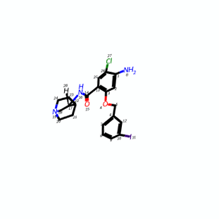 Nc1cc(OCc2cccc(I)c2)c(C(=O)N[C@H]2CN3CCC2CC3)cc1Cl